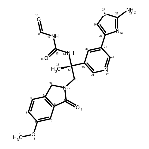 COc1ccc2c(c1)C(=O)N(C[C@](C)(NC(=O)NC=O)c1cncc(-c3csc(N)n3)c1)C2